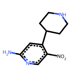 Nc1cc(C2CCNCC2)c([N+](=O)[O-])cn1